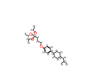 CCO[Si](CCCOc1ccc(C2CCC(CC(C)C)CC2)cc1)(OCC)OCC